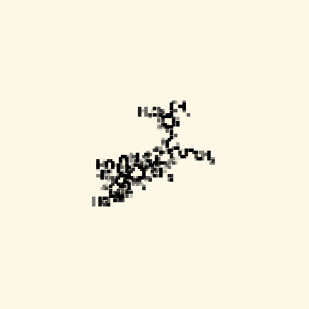 CCOCC1(CCc2cc(C)c(C)s2)CCN(C(C)(C)C2=CN[C@@](C)(C(C(=O)O)C(O)(CC(=O)O)C(=O)O)C=C2)C1